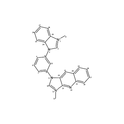 C[n+]1cn(-c2cccc(-n3c[n+](C)c4nc5ccccc5cc43)c2)c2ccccc21